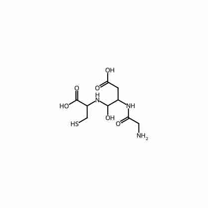 NCC(=O)NC(CC(=O)O)C(O)NC(CS)C(=O)O